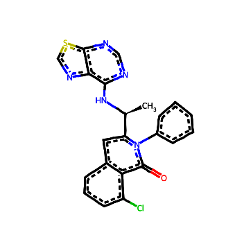 C[C@H](Nc1ncnc2scnc12)c1cc2cccc(Cl)c2c(=O)n1-c1ccccc1